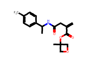 C=C(CC(=O)NC(C)c1ccc(C(F)(F)F)cc1)C(=O)OC1(C)COC1